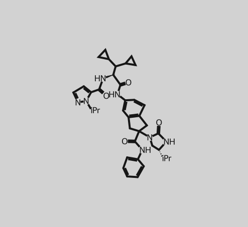 CC(C)[C@@H]1CN(C2(C(=O)Nc3ccccc3)Cc3ccc(NC(=O)[C@@H](NC(=O)c4ccnn4C(C)C)C(C4CC4)C4CC4)cc3C2)C(=O)N1